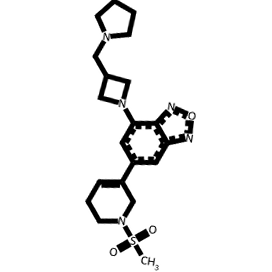 CS(=O)(=O)N1CCC=C(c2cc(N3CC(CN4CCCC4)C3)c3nonc3c2)C1